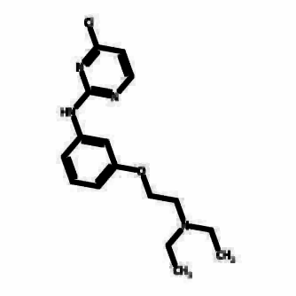 CCN(CC)CCOc1cccc(Nc2nccc(Cl)n2)c1